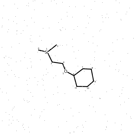 C[Si](C)CCOC1CCCCC1